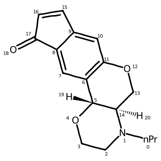 CCCN1CCO[C@@H]2c3cc4c(cc3OC[C@H]21)C=CC4=O